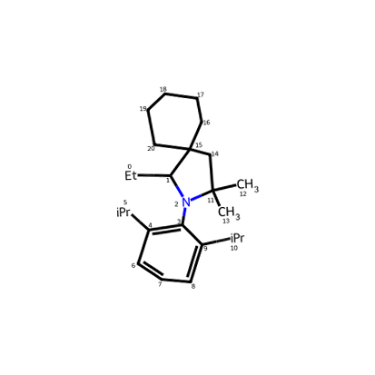 CCC1N(c2c(C(C)C)cccc2C(C)C)C(C)(C)CC12CCCCC2